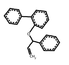 C=CC(Oc1ccccc1-c1ccccc1)c1ccccc1